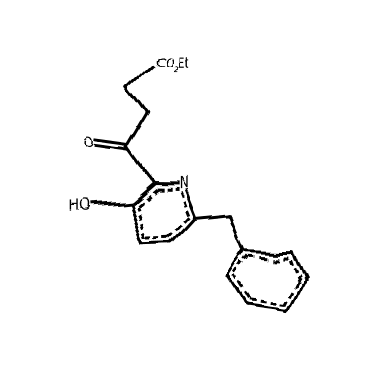 CCOC(=O)CCC(=O)c1nc(Cc2ccccc2)ccc1O